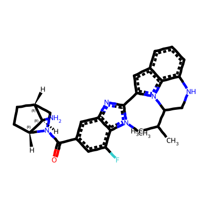 CC(C)C1CNc2cccc3cc(-c4nc5cc(C(=O)N6C[C@H]7CC[C@@H]6[C@@H]7N)cc(F)c5n4C)n1c23